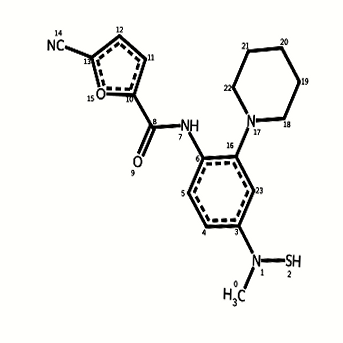 CN(S)c1ccc(NC(=O)c2ccc(C#N)o2)c(N2CCCCC2)c1